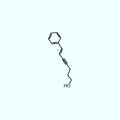 OCCCC#C/C=C/c1ccccc1